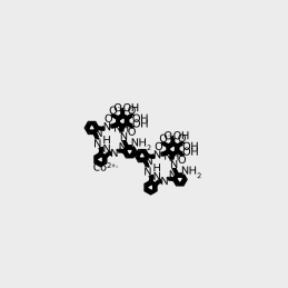 Nc1cccc2c1-c1nc-2nc2[nH]c(nc3nc(nc4[nH]c(n1)c1c(C(=O)O)c(C(=O)O)c(C(=O)O)c(C(=O)[O-])c41)-c1ccccc1-3)c1ccccc21.Nc1cccc2c1-c1nc-2nc2[nH]c(nc3nc(nc4[nH]c(n1)c1c(C(=O)O)c(C(=O)O)c(C(=O)O)c(C(=O)[O-])c41)-c1ccccc1-3)c1ccccc21.[Co+2]